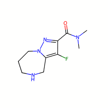 CN(C)C(=O)c1nn2c(c1F)CNCCC2